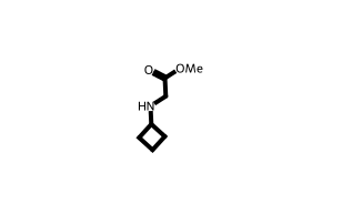 COC(=O)CNC1CCC1